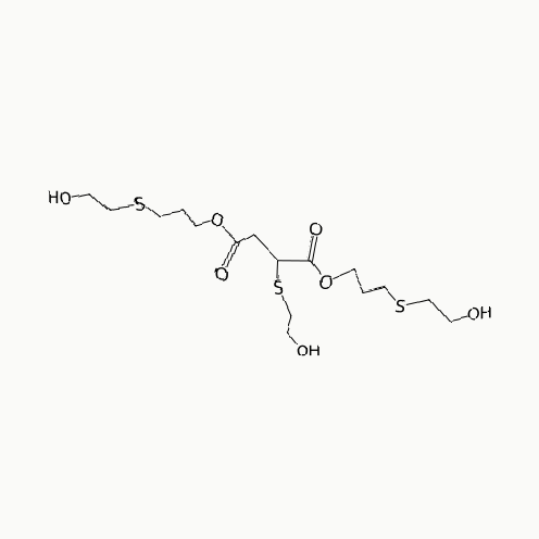 O=C(CC(SCCO)C(=O)OCCCSCCO)OCCCSCCO